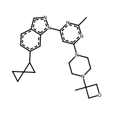 Cc1nc(N2CCN(C3(C)COC3)CC2)cc(-n2ncc3ccc(C4CC45CC5)cc32)n1